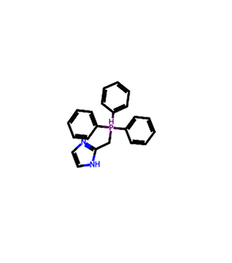 c1ccc([PH](Cc2ncc[nH]2)(c2ccccc2)c2ccccc2)cc1